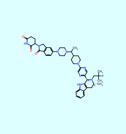 CC(C1CCN(c2cnc([C@@H]3c4[nH]c5ccccc5c4C[C@@H](C)N3CC(C)(C)F)cn2)CC1)N1CCN(c2ccc3c(c2)CN(C2CCC(=O)NC2=O)C3=O)CC1